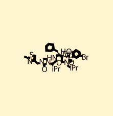 Cc1nc(CN2CCN([C@H](C(=O)N[C@@H](Cc3ccccc3)[C@H](O)CN(CC(C)C)S(=O)(=O)c3cc(Br)ccc3O)C(C)C)C2=O)cs1